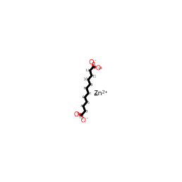 O=C([O-])CCCCCCCCCCC(=O)[O-].[Zn+2]